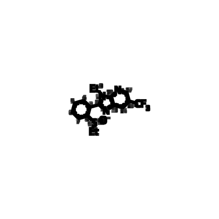 CCn1c(-c2ccccc2[S+]([O-])CC)nc2cc(C(F)(F)F)cnc21